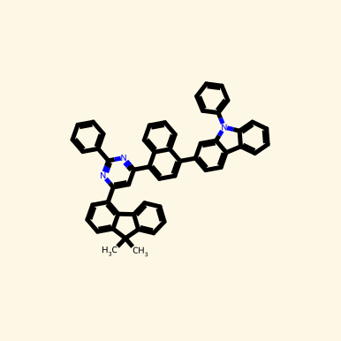 CC1(C)c2ccccc2-c2c(-c3cc(-c4ccc(-c5ccc6c7ccccc7n(-c7ccccc7)c6c5)c5ccccc45)nc(-c4ccccc4)n3)cccc21